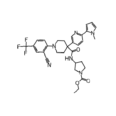 CCOC(=O)N1CCC(NC(=O)C2(c3ccc(-c4cccn4C)nc3)CCN(c3ccc(C(F)(F)F)cc3C#N)CC2)C1